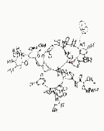 CCCCCOC(C)C(=O)NC(=O)C[C@@H]1CC(=O)[C@H](NC(=O)[C@H](CC)CC(C)C)[C@H](O)c2ccc(c(Cl)c2)Oc2cc3cc(c2O[C@@H]2O[C@H](CO)[C@@H](O)[C@H](O)[C@H]2O[C@H]2C[C@](C)(N)[C@H](O)[C@H](C)O2)Oc2ccc(cc2Cl)[C@@H](O)[C@@H]2NC(=O)[C@H](CC(=O)[C@@H]3NC1=O)c1ccc(O)c(c1)-c1c(O)cc(O)cc1[C@@H](C(=O)CC1C3CC4CC(C3)CC1C4)NC2=O